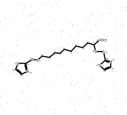 CCCCCCCCC(CCCCCCCCCSSc1nccs1)SSc1nccs1